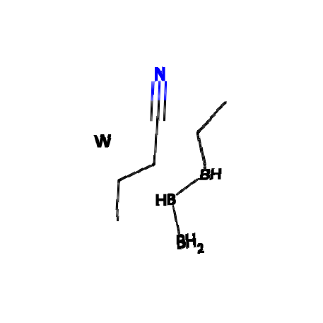 BBBCC.CCCC#N.[W]